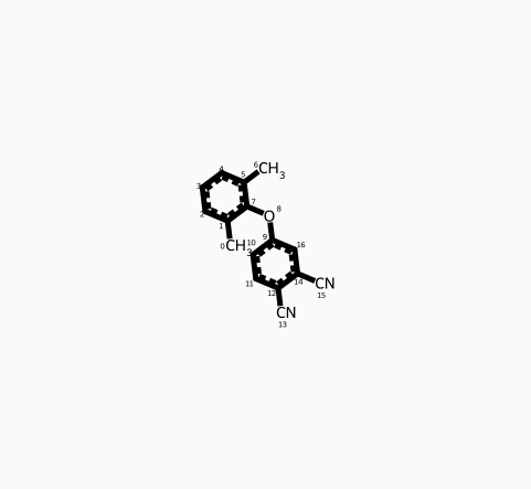 Cc1cccc(C)c1Oc1ccc(C#N)c(C#N)c1